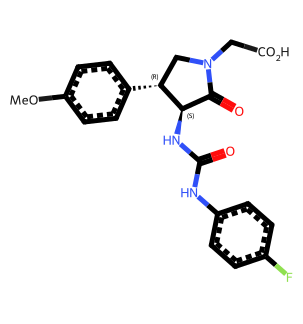 COc1ccc([C@@H]2CN(CC(=O)O)C(=O)[C@H]2NC(=O)Nc2ccc(F)cc2)cc1